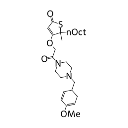 CCCCCCCCC1(C)SC(=O)C=C1OCC(=O)N1CCN(CC2C=CC(OC)=CC2)CC1